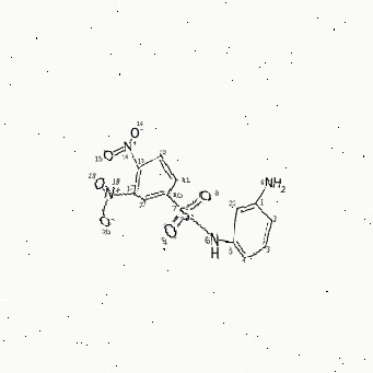 Nc1cccc(NS(=O)(=O)c2ccc([N+](=O)[O-])c([N+](=O)[O-])c2)c1